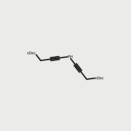 CCCCCCCCCCCC#CPC#CCCCCCCCCCCC